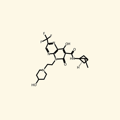 C[C@@H]1C2CC1(NC(=O)c1c(O)c3nc(C(F)(F)F)cnc3n(CCN3CCC(O)CC3)c1=O)C2